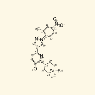 O=c1ccc(-c2cnn(-c3ccc([N+](=O)[O-])cc3F)c2)nn1C1CCC(F)(F)CC1